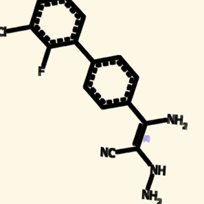 N#C/C(NN)=C(/N)c1ccc(-c2cccc(Cl)c2F)cc1